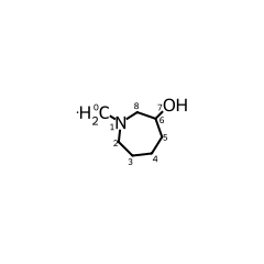 [CH2]N1CCCCC(O)C1